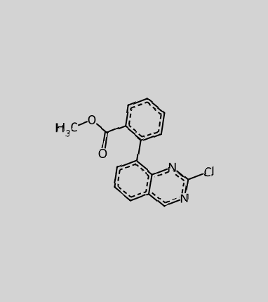 COC(=O)c1ccccc1-c1cccc2cnc(Cl)nc12